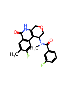 Cc1cc2c(=O)[nH]c3c(c2cc1F)C(N(C)C(=O)c1cccc(F)c1)COC3